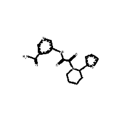 NC(=O)c1cncc(NC(=O)C(=O)N2CCCCC2c2cccs2)c1